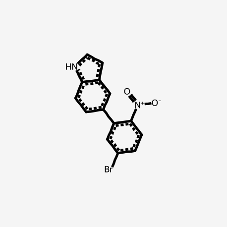 O=[N+]([O-])c1ccc(Br)cc1-c1ccc2[nH]ccc2c1